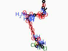 CCc1c2c(nc3ccc(OCc4ccccc4)cc13)-c1cc3c(c(=O)n1C2)COC(=O)[C@@]3(CC)OC(=O)OCc1ccc(NC(=O)[C@H](CCCNC(N)=O)NC(=O)[C@H](NC(=O)CCOCCOCCOCCOCCNC(=O)c2ccc(NC(=O)[C@H]3N[C@H](CC(C)(C)C)[C@@](C#N)(c4ccc(Cl)cc4F)[C@@H]3c3cccc(Cl)c3F)c(OC)c2)C(C)C)cc1